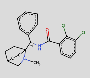 CN1CC2CCC1([C@@H](NC(=O)c1cccc(Cl)c1Cl)c1ccccc1)CC2